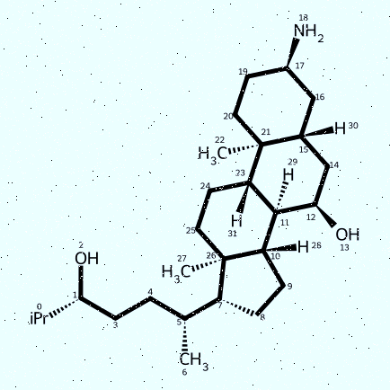 CC(C)[C@H](O)CC[C@@H](C)[C@H]1CC[C@H]2[C@@H]3[C@H](O)C[C@H]4C[C@H](N)CC[C@]4(C)[C@H]3CC[C@]12C